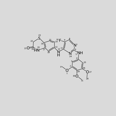 COc1cc(Nc2ncc(F)c(Nc3ccc4c(c3)NC(=O)CS4)n2)cc(OC)c1OC